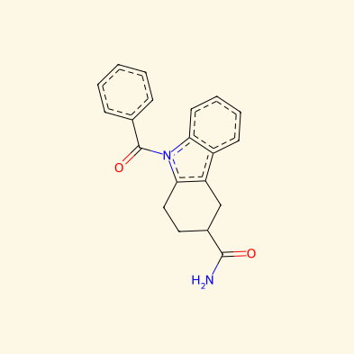 NC(=O)C1CCc2c(c3ccccc3n2C(=O)c2ccccc2)C1